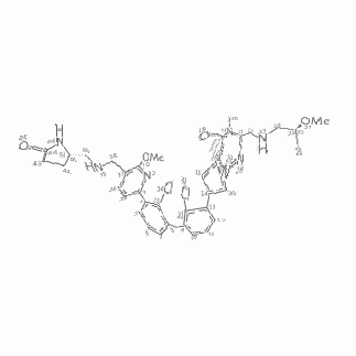 COc1nc(-c2cccc(-c3cccc(-c4cc5c(=O)n(C)c(CNC[C@H](C)OC)nn5c4)c3Cl)c2Cl)ccc1CNC[C@@H]1CCC(=O)N1